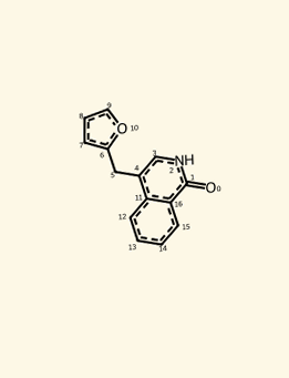 O=c1[nH]cc(Cc2ccco2)c2ccccc12